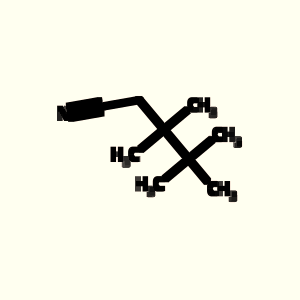 CC(C)(C)C(C)(C)CC#N